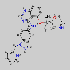 C[C@@](C=O)(Oc1cccc2ncnc(Nc3ccc4c(cnn4Cc4ccccn4)c3)c12)C1CNCCO1